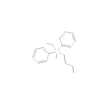 CCCCP(C)(CC)(c1ccccc1)c1ccccc1